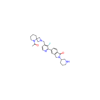 CC(=O)N1CCCCC12CN(Cc1ccnc(-c3ccc4c(c3)CN(C3CCCNC3)C4=O)c1F)C2